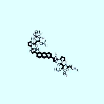 COC(=O)N[C@H](C(=O)N1CCC[C@H]1c1ncc(-c2ccc3cc4cc(-c5cnc([C@@H]6CCCN6C(=O)[C@@H](NC(=O)OC)C(C)C)[nH]5)ccc4cc3c2)[nH]1)C(C)C